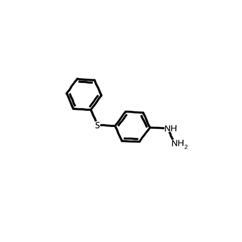 NNc1ccc(Sc2ccccc2)cc1